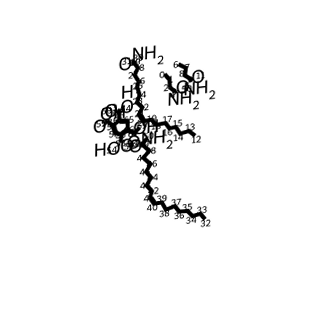 CCCC(N)=O.CCCC(N)=O.CCCCCCCC/C=C\CCCCCCCC(N)=O.CCCCCCCC/C=C\CCCCCCCC(N)=O.O=C(O)c1cc(C(=O)O)c(C(=O)O)cc1C(=O)O